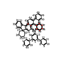 c1ccc(-c2cc(-c3ccccc3)cc(N(c3ccc4c(c3)C3(CCCCC3)c3ccccc3-4)c3ccccc3-c3ccccc3-c3ccccc3-c3ccccc3)c2)cc1